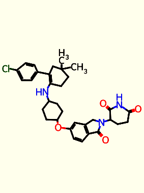 CC1(C)CCC(NC2CCC(Oc3ccc4c(c3)CN(C3CCC(=O)NC3=O)C4=O)CC2)=C(c2ccc(Cl)cc2)C1